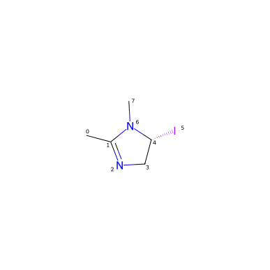 CC1=NC[C@@H](I)N1C